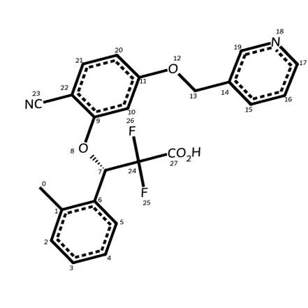 Cc1ccccc1[C@H](Oc1cc(OCc2cccnc2)ccc1C#N)C(F)(F)C(=O)O